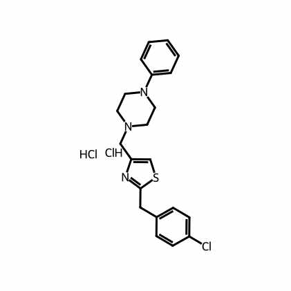 Cl.Cl.Clc1ccc(Cc2nc(CN3CCN(c4ccccc4)CC3)cs2)cc1